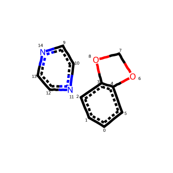 c1ccc2c(c1)OCO2.c1cnccn1